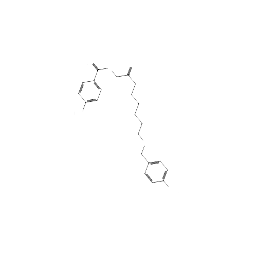 C=C(CCCCCCOCc1ccc(C)cc1)COC(=C)c1ccc(C)cc1